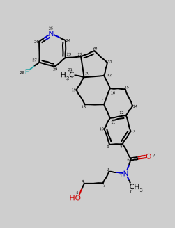 CN(CCCO)C(=O)c1ccc2c(c1)CCC1C2CCC2(C)C(c3cncc(F)c3)=CCC12